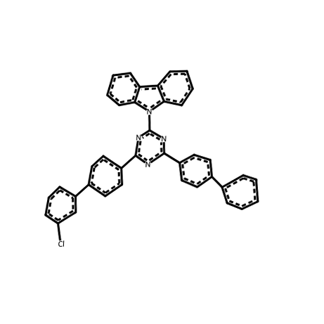 Clc1cccc(-c2ccc(-c3nc(-c4ccc(-c5ccccc5)cc4)nc(-n4c5ccccc5c5ccccc54)n3)cc2)c1